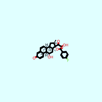 C[C@@H]1C[C@H]2[C@@H]3C=CC4=CC(=O)C=C[C@]4(C)[C@H]3[C@@H](O)C[C@]2(C)[C@]1(OC(=O)c1ccc(F)cc1)C(=O)CO